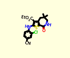 CCOC(=O)c1c(Nc2ccc(C#N)cc2Cl)sc2c1CC(C)(C)CNC2=O